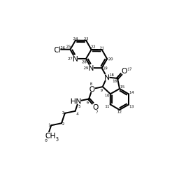 CCCCCNC(=O)OC1c2ccccc2C(=O)N1c1ccc2ccc(Cl)nc2n1